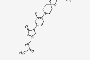 CC(=O)NC[C@H]1CN(c2ccc(N3CCC4(CC3)OCC(CN)O4)c(F)c2)C(=O)O1